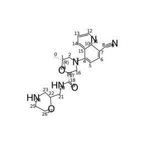 C[C@@H]1CN(c2ccc(C#N)c3ncccc23)C[C@H](C(=O)NCC2CNCCO2)O1